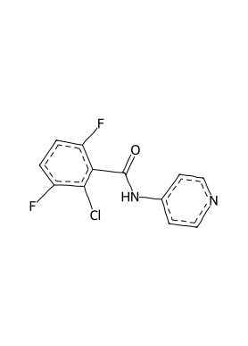 O=C(Nc1ccncc1)c1c(F)ccc(F)c1Cl